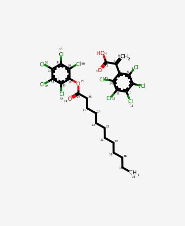 C=C(C(=O)O)c1c(Cl)c(Cl)c(Cl)c(Cl)c1Cl.CCCCCCCCCCCC(=O)Oc1c(Cl)c(Cl)c(Cl)c(Cl)c1Cl